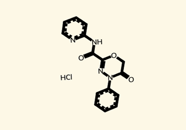 Cl.O=C(Nc1ccccn1)C1=NN(c2ccccc2)C(=O)CO1